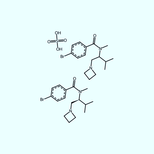 CC(C)C(CN1CCC1)N(C)C(=O)c1ccc(Br)cc1.CC(C)[C@@H](CN1CCC1)N(C)C(=O)c1ccc(Br)cc1.O=S(=O)(O)O